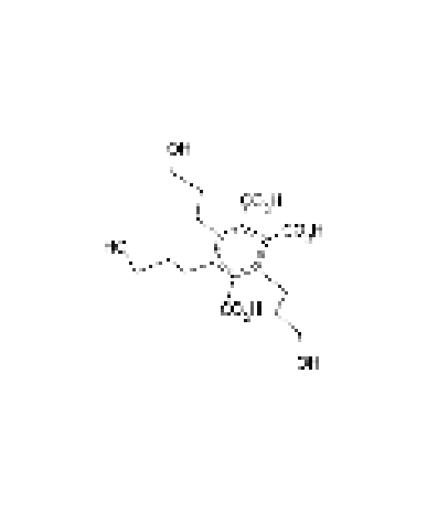 O=C(O)c1c(CCCO)c(CCCO)c(C(=O)O)c(C(=O)O)c1CCCO